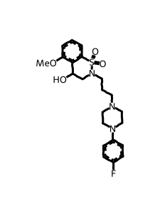 COc1cccc2c1C(O)CN(CCCN1CCN(c3ccc(F)cc3)CC1)S2(=O)=O